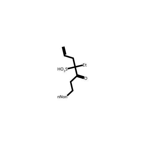 C=CCC(CC)(C(=O)CCCCCCCCCCC)S(=O)(=O)O